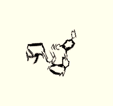 CC1=NC=CCN1CNc1ncnc2c1CN(c1ccc(Cl)cc1C#N)CC2